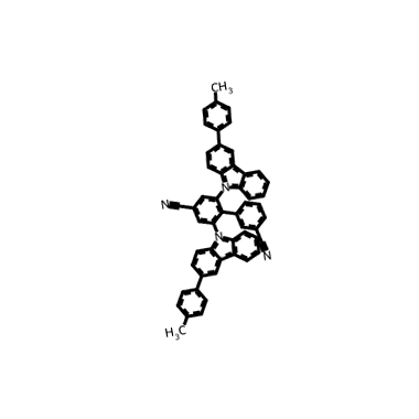 Cc1ccc(-c2ccc3c(c2)c2ccccc2n3-c2cc(C#N)cc(-n3c4ccccc4c4cc(-c5ccc(C)cc5)ccc43)c2-c2cccc(C#N)c2)cc1